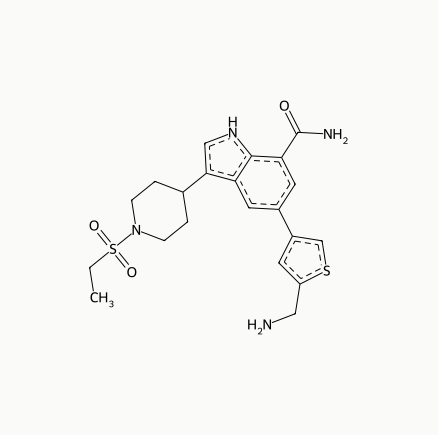 CCS(=O)(=O)N1CCC(c2c[nH]c3c(C(N)=O)cc(-c4csc(CN)c4)cc23)CC1